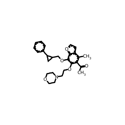 CC(=O)c1c(OCCN2CCOCC2)c(OCC2CC2c2ccccc2)c2occc2c1C